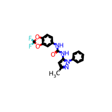 Cc1cc(NC(=O)Nc2ccc3c(c2)OC(F)(F)O3)n(-c2ccccc2)n1